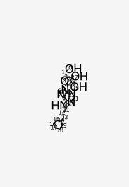 OC[C@H]1O[C@@H](n2cnc3c(NCCCc4ccccc4)ncnc32)[C@H](O)[C@@H]1O